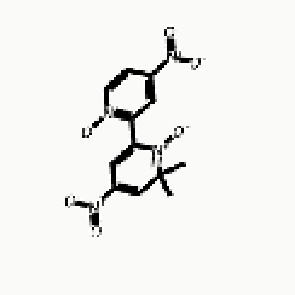 CC1(C)C=C([N+](=O)[O-])C=C(c2cc([N+](=O)[O-])cc[n+]2[O-])[NH+]1[O-]